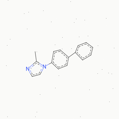 Cc1nccn1-c1ccc(-c2ccccc2)cc1